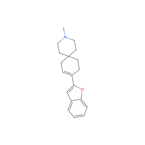 CN1CCC2(CC=C(c3cc4ccccc4o3)CC2)CC1